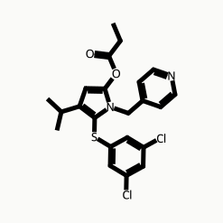 CCC(=O)Oc1cc(C(C)C)c(Sc2cc(Cl)cc(Cl)c2)n1Cc1ccncc1